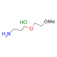 COCCOCCCN.Cl